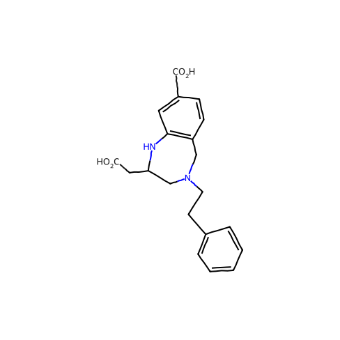 O=C(O)CC1CN(CCc2ccccc2)Cc2ccc(C(=O)O)cc2N1